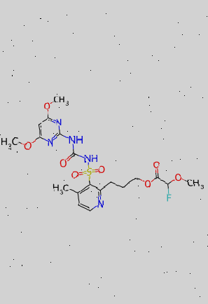 COc1cc(OC)nc(NC(=O)NS(=O)(=O)c2c(C)ccnc2CCCOC(=O)C(F)OC)n1